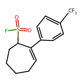 O=S(=O)(F)C1CCCCC=C1c1ccc(C(F)(F)F)cc1